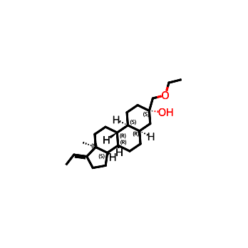 CC=C1CC[C@H]2[C@@H]3CC[C@@H]4C[C@](O)(COCC)CC[C@@H]4[C@H]3CC[C@]12C